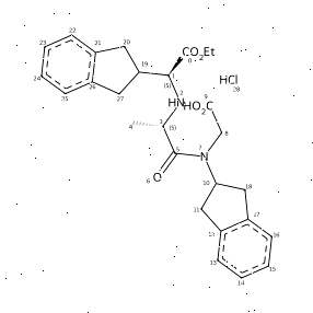 CCOC(=O)[C@@H](N[C@@H](C)C(=O)N(CC(=O)O)C1Cc2ccccc2C1)C1Cc2ccccc2C1.Cl